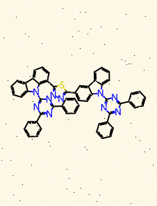 c1ccc(-c2nc(-c3ccccc3)nc(-n3c4ccccc4c4cc(-c5nnc(-c6cccc7c8ccccc8n(-c8nc(-c9ccccc9)nc(-c9ccccc9)n8)c67)s5)ccc43)n2)cc1